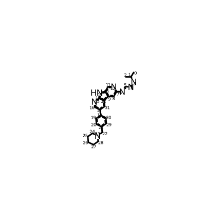 CC(C)/N=N\C=N\c1cc2c(cn1)[nH]c1ncc(-c3ccc(CN4CCCCC4)cc3)cc12